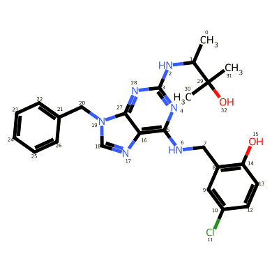 CC(Nc1nc(NCc2cc(Cl)ccc2O)c2ncn(Cc3ccccc3)c2n1)C(C)(C)O